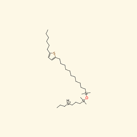 CCCCCCc1ccc(CCCCCCCCCCC[Si](C)(C)O[Si](C)(C)CCC[SiH2]CCC)s1